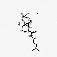 CN(C)CCONC(=O)C1CC[C@@H]2CN1C(=O)N2OS(=O)(=O)O